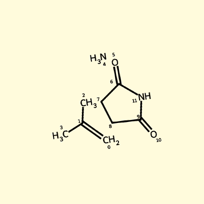 C=C(C)C.N.O=C1CCC(=O)N1